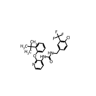 CC(C)(C)c1ccccc1Oc1ncccc1NC(=O)NCc1ccc(Cl)c(C(F)(F)F)c1